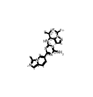 Cc1ncc2ccc(-c3nc(N)nc(NC(c4ccnn4C(F)F)C(C)C)n3)cn12